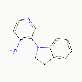 Nc1ccncc1N1CCc2ccccc21